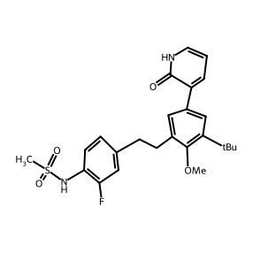 COc1c(CCc2ccc(NS(C)(=O)=O)c(F)c2)cc(-c2ccc[nH]c2=O)cc1C(C)(C)C